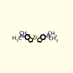 CN(C)c1ccc2c(c1)C=C[CH]2[Zr][CH]1C=Cc2cc(N(C)C)ccc21